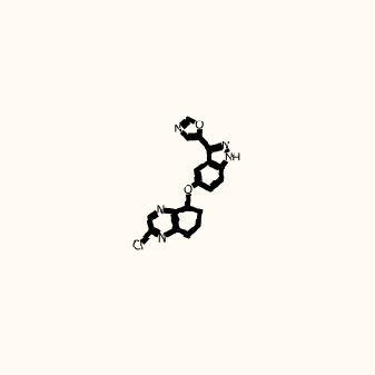 Clc1cnc2c(n1)CCCC2Oc1ccc2[nH]nc(-c3cnco3)c2c1